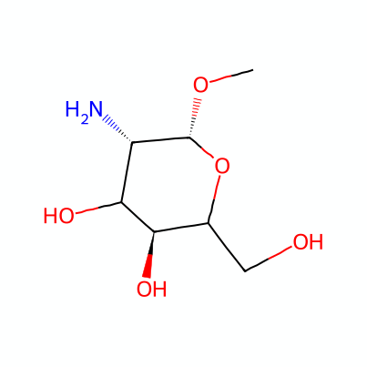 CO[C@@H]1OC(CO)[C@@H](O)C(O)[C@@H]1N